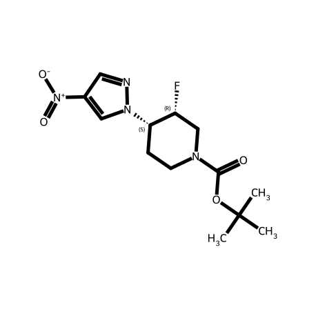 CC(C)(C)OC(=O)N1CC[C@H](n2cc([N+](=O)[O-])cn2)[C@H](F)C1